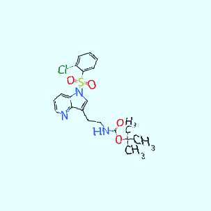 CC(C)(C)OC(=O)NCCc1cn(S(=O)(=O)c2ccccc2Cl)c2cccnc12